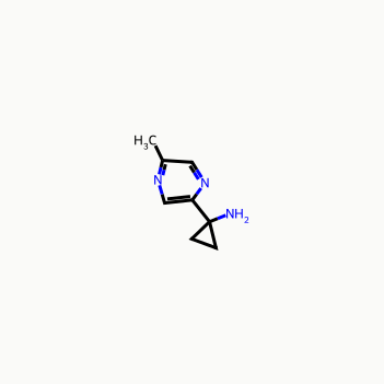 Cc1cnc(C2(N)CC2)cn1